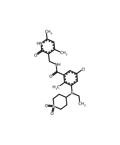 CCN(c1cc(Cl)cc(C(=O)NCc2c(C)cc(C)[nH]c2=O)c1C)C1CCS(=O)(=O)CC1